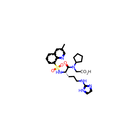 Cc1cnc2c(S(=O)(=O)N[C@@H](CCCNc3ncc[nH]3)C(=O)N(CC(=O)O)C3CCCC3)cccc2c1